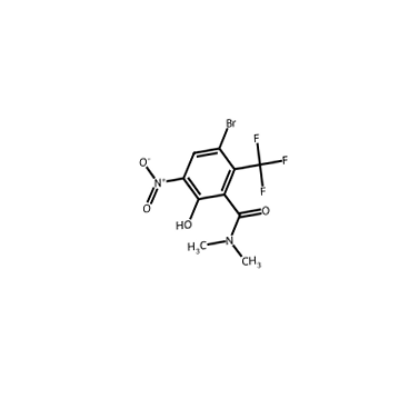 CN(C)C(=O)c1c(O)c([N+](=O)[O-])cc(Br)c1C(F)(F)F